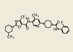 Cc1cc(N2CCN(C(=O)Nc3ccccc3F)CC2)ncc1NC(=O)c1oc(N2CCCC(C)C2)nc1C(F)(F)F